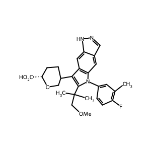 COCC(C)(C)c1c(C2CC[C@@H](C(=O)O)OC2)c2cc3[nH]ncc3cc2n1-c1ccc(F)c(C)c1